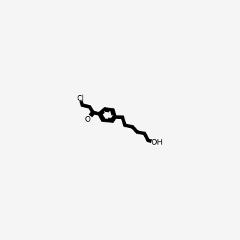 O=C(CCCl)c1ccc(CCCCCCO)cc1